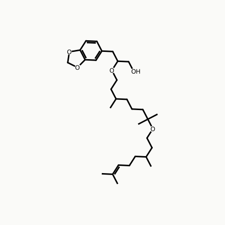 CC(C)=CCCC(C)CCOC(C)(C)CCCC(C)CCOC(CO)Cc1ccc2c(c1)OCO2